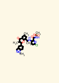 Cc1cc(C(C)Nc2ccc(Cl)nc2C(=O)NS(C)(=O)=O)c2oc(-c3ccc4c(cnn4C)c3)c(C)c(=O)c2c1